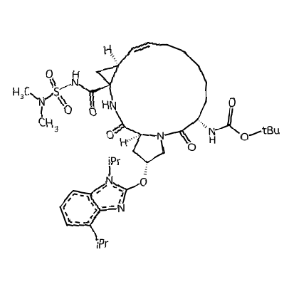 CC(C)c1cccc2c1nc(O[C@@H]1C[C@H]3C(=O)N[C@]4(C(=O)NS(=O)(=O)N(C)C)C[C@H]4/C=C\CCCCC[C@H](NC(=O)OC(C)(C)C)C(=O)N3C1)n2C(C)C